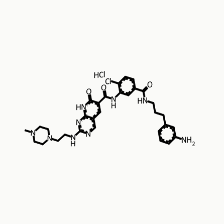 CN1CCN(CCNc2ncc3cc(C(=O)Nc4cc(C(=O)NCCCc5cccc(N)c5)ccc4Cl)c(=O)[nH]c3n2)CC1.Cl